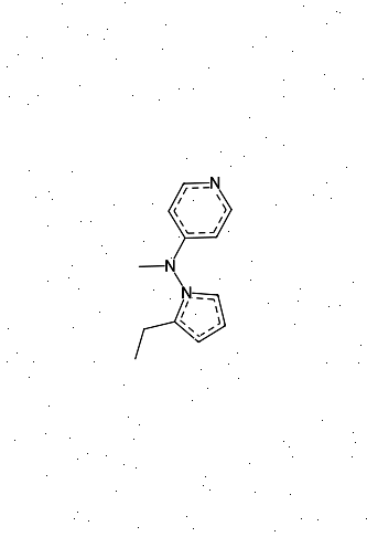 CCc1cccn1N(C)c1ccncc1